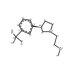 COCCN1CC[C@H](c2cccc(C(F)(F)F)c2)C1